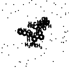 COc1c(CN2O[C@@H](CO)[C@@H]([C@H](C)O)[C@H]2C(=O)NC2C[C@H]3C[C@@H]([C@@H]2C)C3(C)C)cccc1-c1cc(C(=O)NC(Cc2ccccc2)C(N)=O)cc(N(C)C)c1